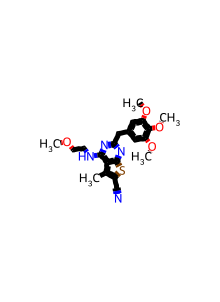 COCCNc1nc(Cc2cc(OC)c(OC)c(OC)c2)nc2sc(C#N)c(C)c12